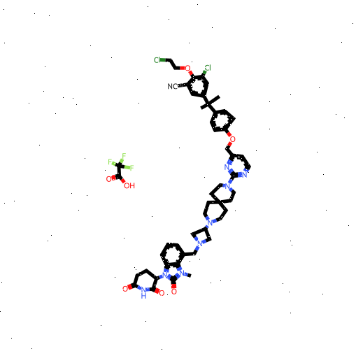 Cn1c(=O)n(C2CCC(=O)NC2=O)c2cccc(CN3CC(N4CCC5(CCN(c6nccc(COc7ccc(C(C)(C)c8cc(Cl)c(OCCCl)c(C#N)c8)cc7)n6)CC5)CC4)C3)c21.O=C(O)C(F)(F)F